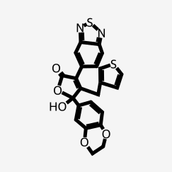 O=C1OC(O)(c2ccc3c(c2)OCCO3)C(Cc2ccsc2)=C1c1ccc2nsnc2c1